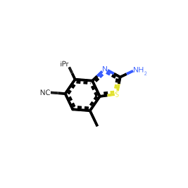 Cc1cc(C#N)c(C(C)C)c2nc(N)sc12